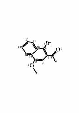 COc1cc(C(C)=O)c(Br)c2ccccc12